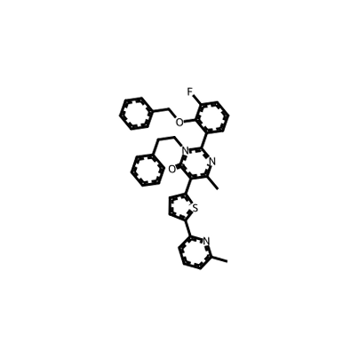 Cc1cccc(-c2ccc(-c3c(C)nc(-c4cccc(F)c4OCc4ccccc4)n(CCc4ccccc4)c3=O)s2)n1